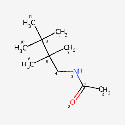 CC(=O)NCC(C)(C)C(C)(C)C